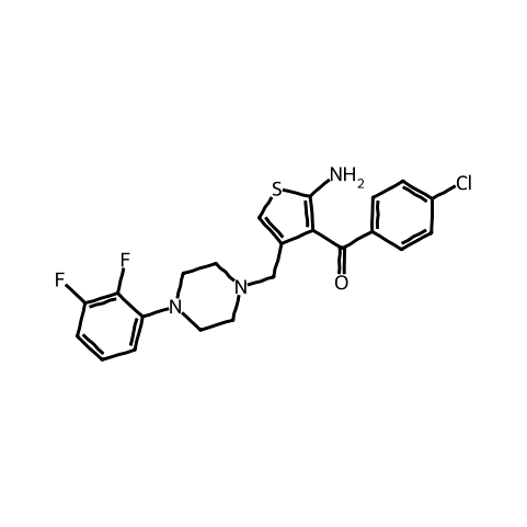 Nc1scc(CN2CCN(c3cccc(F)c3F)CC2)c1C(=O)c1ccc(Cl)cc1